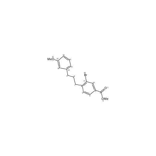 COC(=O)c1ccc(CCCc2cccc(OC)c2)c(Br)c1